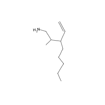 C=CC(CCCCC)C(C)CN